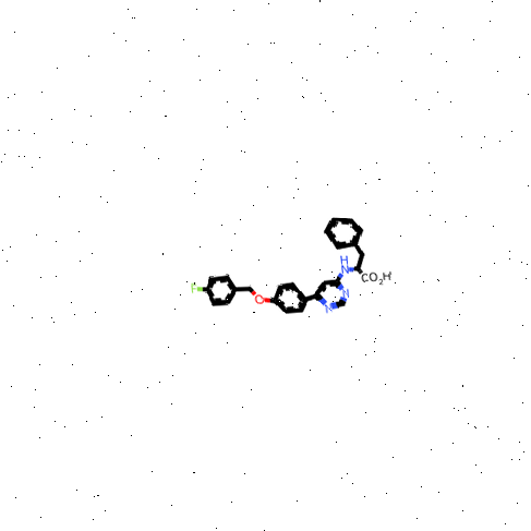 O=C(O)C(Cc1ccccc1)Nc1cc(-c2ccc(OCc3ccc(F)cc3)cc2)ncn1